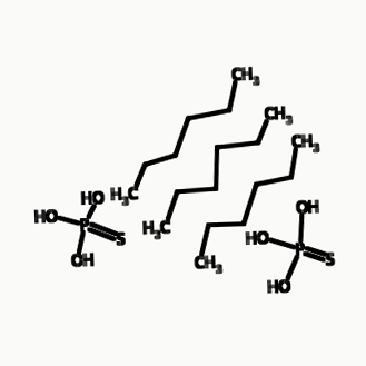 CCCCCC.CCCCCC.CCCCCC.OP(O)(O)=S.OP(O)(O)=S